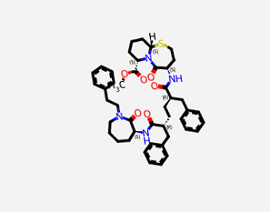 COC(=O)[C@@H]1CCC[C@@H]2SCC[C@H](NC(=O)[C@H](CC[C@H](Cc3ccccc3)C(=O)N[C@H]3CCCCN(CCc4ccccc4)C3=O)Cc3ccccc3)C(=O)N21